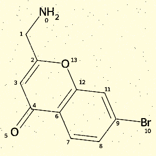 NCc1cc(=O)c2ccc(Br)cc2o1